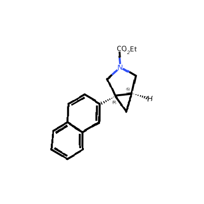 CCOC(=O)N1C[C@H]2C[C@@]2(c2ccc3ccccc3c2)C1